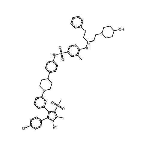 Cc1cc(S(=O)(=O)Nc2ccc(N3CCN(c4cccc(-c5c(S(C)(=O)=O)c(C)n(C(C)C)c5-c5ccc(Cl)cc5)c4)CC3)cc2)ccc1N[C@H](CCN1CCC(O)CC1)CSc1ccccc1